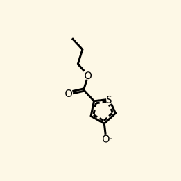 CCCOC(=O)c1cc([O])cs1